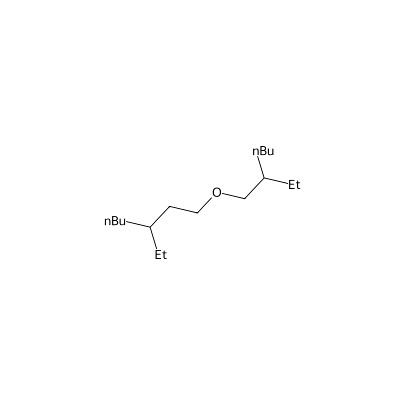 CCCCC(CC)CCOCC(CC)CCCC